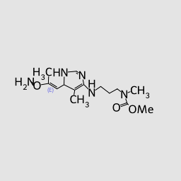 COC(=O)N(C)CCCNC1=C(C)C(/C=C(\C)ON)NC=N1